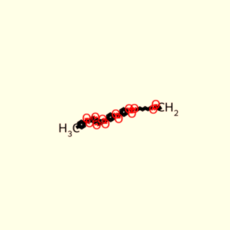 C=CC(=O)OCCCCCCOC(=O)Oc1ccc(C(=O)Oc2ccc(C(=O)O[C@H]3COC4C3OC[C@H]4OC(=O)c3ccc(C)cc3)cc2)cc1